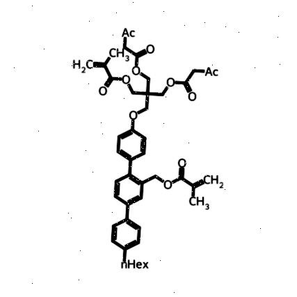 C=C(C)C(=O)OCc1cc(-c2ccc(CCCCCC)cc2)ccc1-c1ccc(OCC(COC(=O)CC(C)=O)(COC(=O)CC(C)=O)COC(=O)C(=C)C)cc1